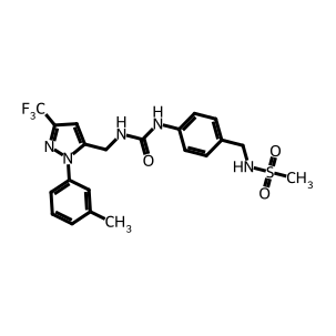 Cc1cccc(-n2nc(C(F)(F)F)cc2CNC(=O)Nc2ccc(CNS(C)(=O)=O)cc2)c1